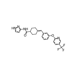 O=C(Nc1cc[nH]n1)C1CCC(=Cc2cccc(Oc3ccc(C(F)(F)F)cn3)c2)CC1